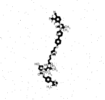 Cc1ncsc1-c1ccc(CNC(=O)[C@@H]2C[C@@H](O)CN2C(=O)[C@@H](NC(=O)CCCn2cc(COc3ccc(-c4ccc(N5C(=S)N(c6ccc(C#N)c(C(F)(F)F)c6F)CC5(C)C)cn4)cc3)nn2)C(C)(C)C)cc1